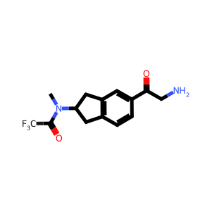 CN(C(=O)C(F)(F)F)C1Cc2ccc(C(=O)CN)cc2C1